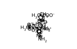 CC1(C)S[C@@H]2[C@H](NC(=O)C(N)(NC(=O)N3CCN(S(C)(=O)=O)C3=O)c3ccc4nc(N)sc4c3)C(=O)N2[C@H]1C(=O)[O-].[Na+]